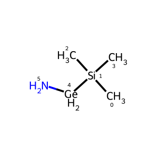 C[Si](C)(C)[GeH2][NH2]